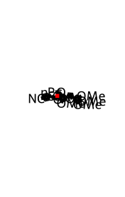 CCCS(=O)(=O)c1cc([C@@H]2CC[C@@H](c3cc(OC)c(OC)c(OC)c3)O2)cc(OC)c1OCCSc1ccc(C#N)cc1